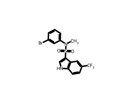 CN(c1cccc(Br)c1)S(=O)(=O)c1c[nH]c2ccc(C(F)(F)F)cc12